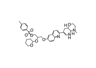 Cc1ccc(S(=O)(=O)OCC(COc2ccc3nc(C4=CN[C@H]5[C@@H](C4)OCCN5C)ccc3c2)OC2CCCCO2)cc1